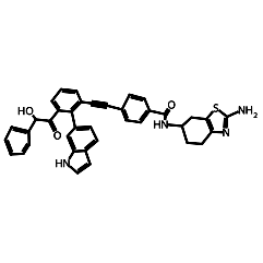 Nc1nc2c(s1)CC(NC(=O)c1ccc(C#Cc3cccc(C(=O)C(O)c4ccccc4)c3-c3ccc4cc[nH]c4c3)cc1)CC2